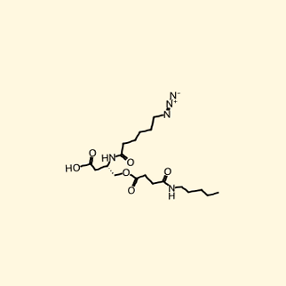 CCCCCNC(=O)CCC(=O)OC[C@H](CC(=O)O)NC(=O)CCCCCN=[N+]=[N-]